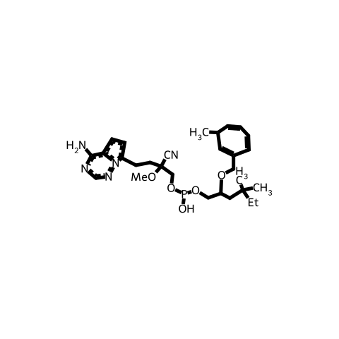 CCC(C)(C)CC(COP(O)OCC(C#N)(CCc1ccc2c(N)ncnn12)OC)OCC1=CC(C)C=CC=C1